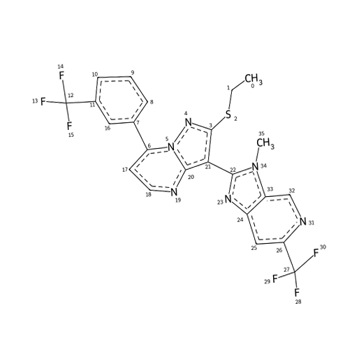 CCSc1nn2c(-c3cccc(C(F)(F)F)c3)ccnc2c1-c1nc2cc(C(F)(F)F)ncc2n1C